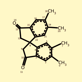 Cc1cc2c(cc1C)C1(CC2=O)CC(=O)c2cc(C)c(C)cc21